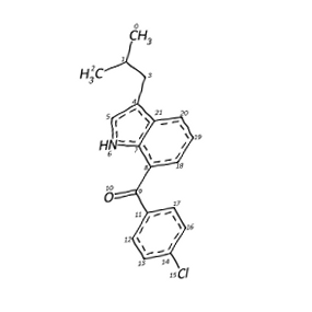 CC(C)Cc1c[nH]c2c(C(=O)c3ccc(Cl)cc3)cccc12